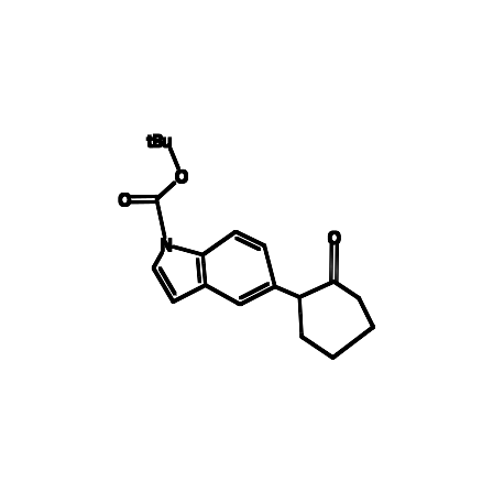 CC(C)(C)OC(=O)n1ccc2cc(C3CCCCC3=O)ccc21